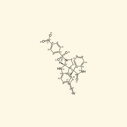 [N-]=[N+]=NCC[C@]1(C23CCN(S(=O)(=O)c4ccc([N+](=O)[O-])cc4)[C@H]2Nc2ccccc23)C(=O)Nc2ccccc21